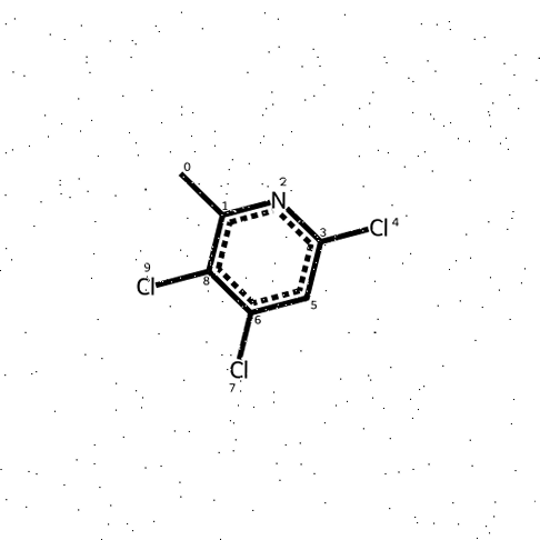 Cc1nc(Cl)cc(Cl)c1Cl